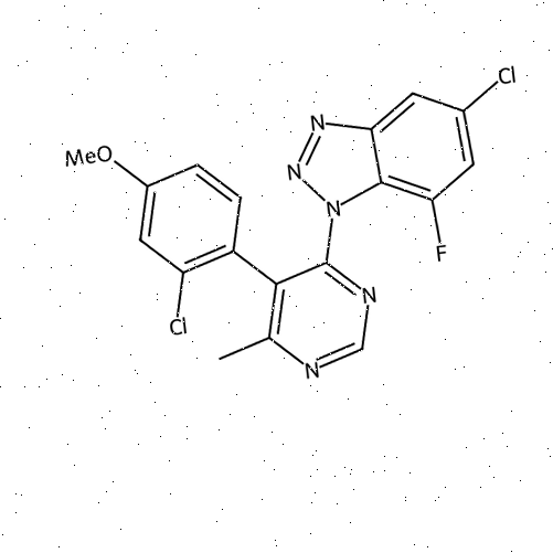 COc1ccc(-c2c(C)ncnc2-n2nnc3cc(Cl)cc(F)c32)c(Cl)c1